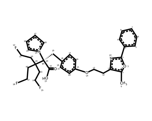 Cc1oc(-c2ccccc2)nc1CCOc1ccc(C[C@@](C(=O)O)(n2cccc2)C(CCF)(CCF)CCF)cc1